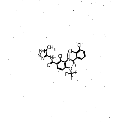 Cn1nnnc1NC(=O)c1ccc(OC(F)(F)F)c(NC(=O)c2cccc(Cl)c2Cl)c1Cl